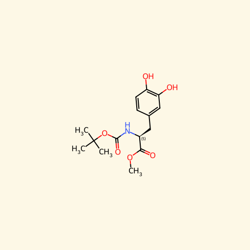 COC(=O)[C@H](Cc1ccc(O)c(O)c1)NC(=O)OC(C)(C)C